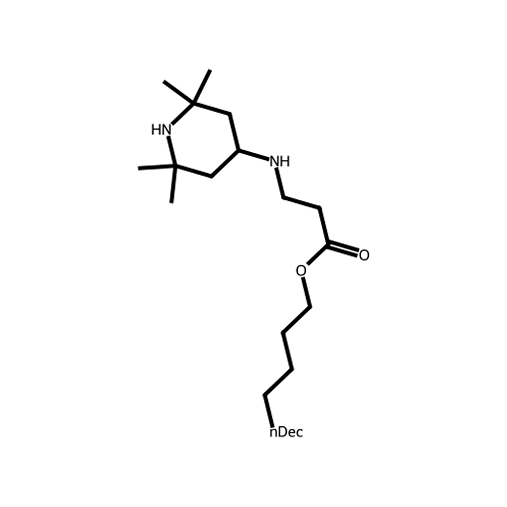 CCCCCCCCCCCCCCOC(=O)CCNC1CC(C)(C)NC(C)(C)C1